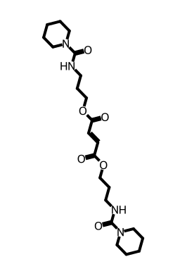 O=C(/C=C/C(=O)OCCCNC(=O)N1CCCCC1)OCCCNC(=O)N1CCCCC1